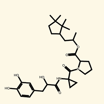 CC(CC1CCC(C)(C)C1(C)C)OC(=O)C1CCCN1C(=O)C1(NC(=O)C(O)Cc2ccc(O)c(O)c2)CC1